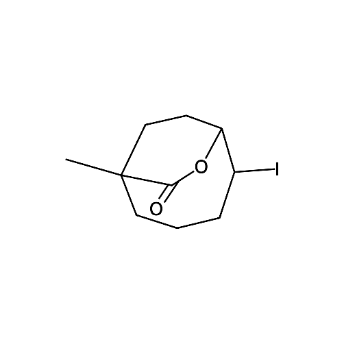 CC12CCCC(I)C(CC1)OC2=O